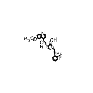 COc1ccc2nccc(C(O)CC[C@@H]3CCN(CC#Cc4ccccc4C(F)(F)F)C[C@@H]3CO)c2c1